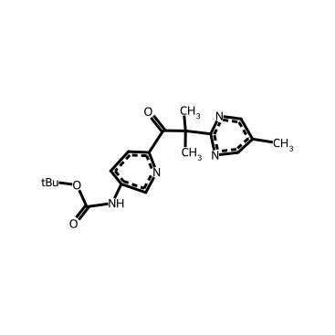 Cc1cnc(C(C)(C)C(=O)c2ccc(NC(=O)OC(C)(C)C)cn2)nc1